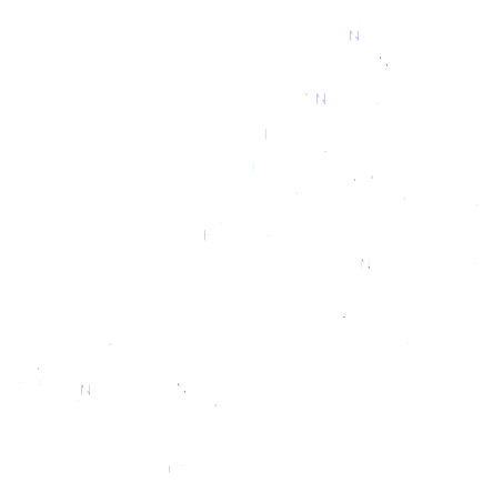 CC(C)C1CN(C)CCN1Cc1cc2c(c(C(F)(F)F)c1)CN(c1ccccc1C1(Cc3nncn3C)CC(F)(F)C1)C2=O